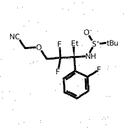 CC[C@@](N[S+]([O-])C(C)(C)C)(c1ccccc1F)C(F)(F)COCC#N